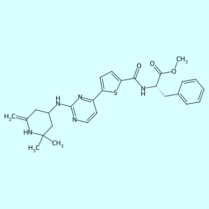 C=C1CC(Nc2nccc(-c3ccc(C(=O)N[C@@H](Cc4ccccc4)C(=O)OC)s3)n2)CC(C)(C)N1